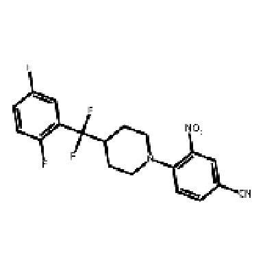 N#Cc1ccc(N2CCC(C(F)(F)c3cc(F)ccc3F)CC2)c([N+](=O)[O-])c1